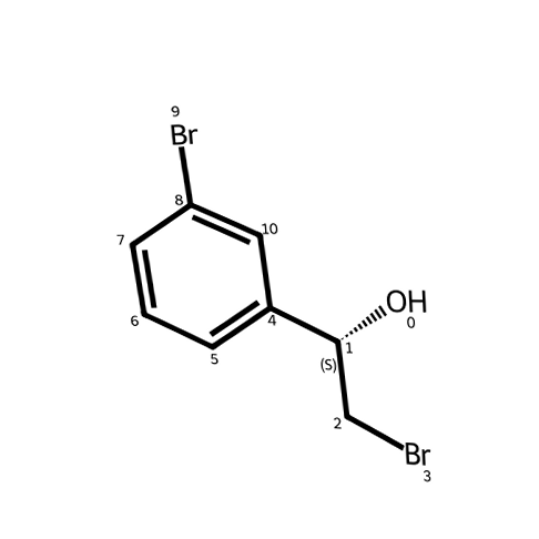 O[C@H](CBr)c1cccc(Br)c1